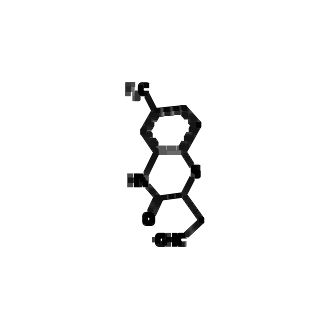 O=[C]CC1Sc2ccc(C(F)(F)F)cc2NC1=O